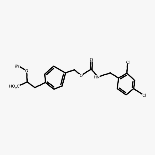 CC(C)OC(Cc1ccc(COC(=O)NCc2ccc(Cl)cc2Cl)cc1)C(=O)O